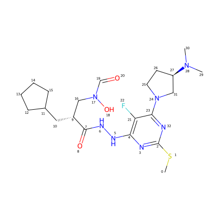 CSc1nc(NNC(=O)[C@H](CC2CCCC2)CN(O)C=O)c(F)c(N2CC[C@@H](N(C)C)C2)n1